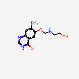 Cc1cc2nc[nH]c(=O)c2cc1OCNCCO